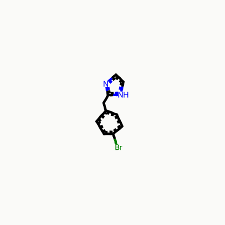 Brc1ccc(Cc2ncc[nH]2)cc1